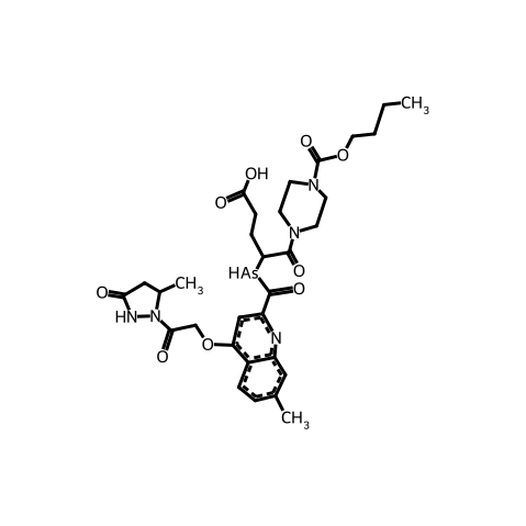 CCCCOC(=O)N1CCN(C(=O)C(CCC(=O)O)[AsH]C(=O)c2cc(OCC(=O)N3NC(=O)CC3C)c3ccc(C)cc3n2)CC1